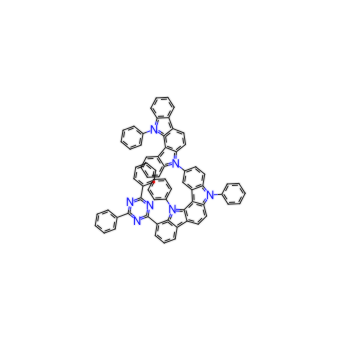 c1ccc(-c2nc(-c3ccccc3)nc(-c3cccc4c5ccc6c(c7cc(-n8c9ccccc9c9c8ccc8c%10ccccc%10n(-c%10ccccc%10)c89)ccc7n6-c6ccccc6)c5n(-c5ccccc5)c34)n2)cc1